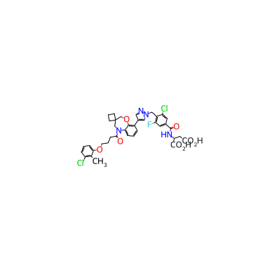 Cc1c(Cl)cccc1OCCCC(=O)N1CC2(CCC2)COc2c(-c3cnn(Cc4c(F)cc(C(=O)N[C@@H](CC(=O)O)C(=O)O)cc4Cl)c3)cccc21